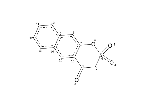 O=C1CS(=O)(=O)Oc2cc3ccccc3cc21